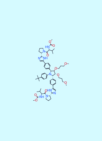 COCCCO[C@H]1[C@H](OCCCOC)[C@H](c2ccc(-c3cnc([C@@H]4CCCN4C(=O)[C@@H](NC(=O)OC)C(C)C)[nH]3)cc2)N(c2ccc(C(C)(C)C)cc2)[C@H]1c1ccc(-c2cnc([C@@H]3CCCN3C(=O)[C@@H](NC(=O)OC)C(C)C)[nH]2)cc1